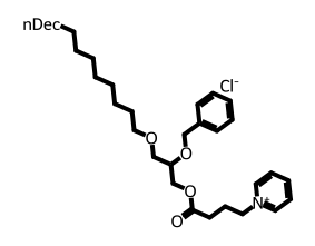 CCCCCCCCCCCCCCCCCCOCC(COC(=O)CCC[n+]1ccccc1)OCc1ccccc1.[Cl-]